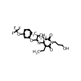 CCc1c(/N=C(/Oc2cccc(OC(F)(F)F)c2)C(C)C)n(C)c(=O)n(CCCO)c1=O